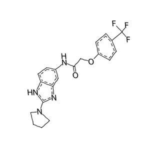 O=C(COc1ccc(C(F)(F)F)cc1)Nc1ccc2[nH]c(N3CCCC3)nc2c1